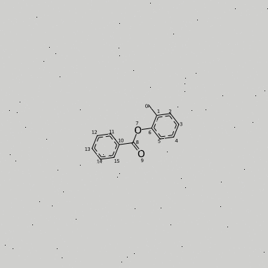 [CH2]c1ccccc1OC(=O)c1ccccc1